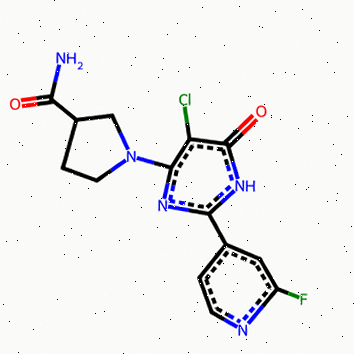 NC(=O)C1CCN(c2nc(-c3ccnc(F)c3)[nH]c(=O)c2Cl)C1